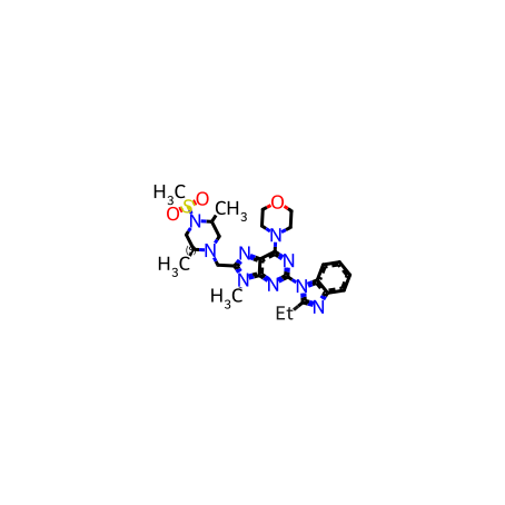 CCc1nc2ccccc2n1-c1nc(N2CCOCC2)c2nc(CN3CC(C)N(S(C)(=O)=O)C[C@@H]3C)n(C)c2n1